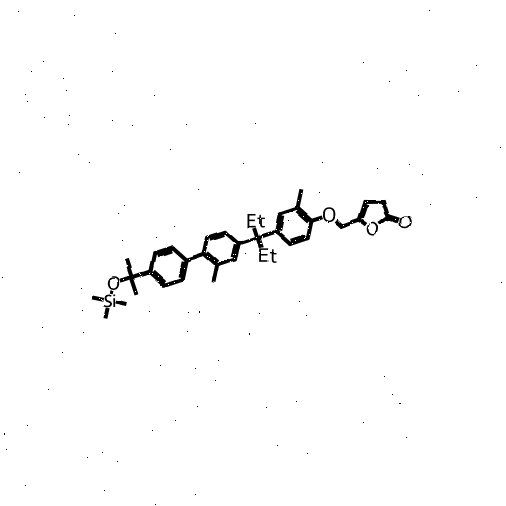 CCC(CC)(c1ccc(OCC2=CCC(=O)O2)c(C)c1)c1ccc(-c2ccc(C(C)(C)O[Si](C)(C)C)cc2)c(C)c1